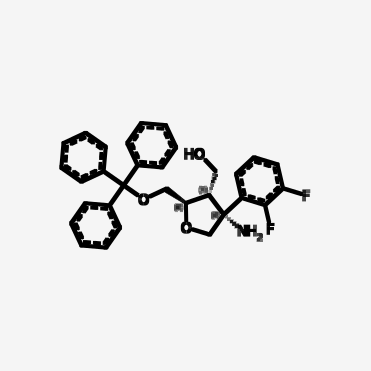 N[C@]1(c2cccc(F)c2F)CO[C@@H](COC(c2ccccc2)(c2ccccc2)c2ccccc2)[C@@H]1CO